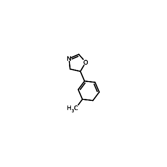 CC1C=C(C2CN=CO2)C=CC1